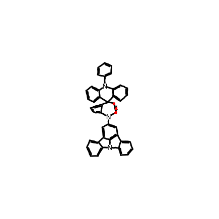 c1ccc(N2c3ccccc3C3(c4ccccc42)c2ccccc2N(c2cc4c5ccccc5n5c6ccccc6c(c2)c45)c2ccccc23)cc1